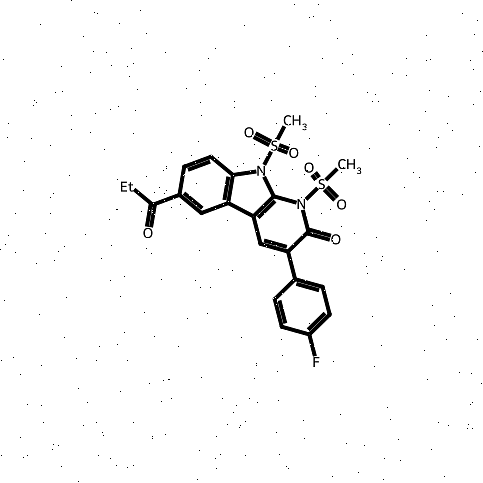 CCC(=O)c1ccc2c(c1)c1cc(-c3ccc(F)cc3)c(=O)n(S(C)(=O)=O)c1n2S(C)(=O)=O